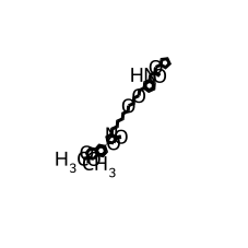 CC1(C)OCc2cc([C@@H]3CN(CCCCCCOCCOCc4cccc(NC(=O)OC5CCCC5)c4)C(=O)O3)ccc2O1